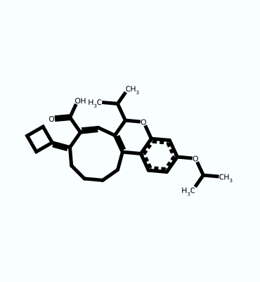 CC(C)Oc1ccc2c(c1)OC(C(C)C)C1=C2CCCCC(=C2CCC2)/C(C(=O)O)=C\1